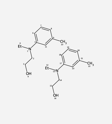 CCN(CCO)c1cccc(C)c1.CCN(CCO)c1cccc(C)c1